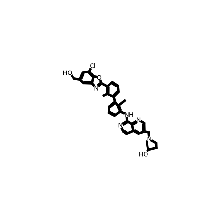 Cc1c(Nc2nccc3cc(CN4CCC(O)C4)cnc23)cccc1-c1cccc(-c2nc3cc(CO)cc(Cl)c3o2)c1C